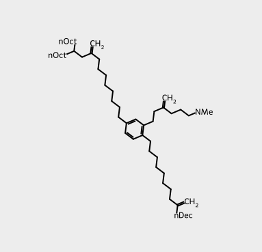 C=C(CCCCCCCCCC)CCCCCCCCc1ccc(CCCCCCCCC(=C)CC(CCCCCCCC)CCCCCCCC)cc1CCC(=C)CCCNC